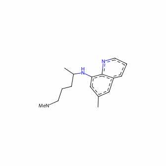 CNCCCC(C)Nc1cc(C)cc2cccnc12